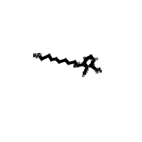 CCCCCCCCCNc1ccnc(N)[n+]1[O-]